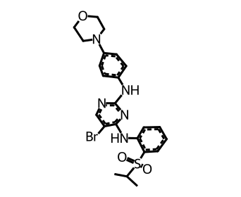 CC(C)S(=O)(=O)c1ccccc1Nc1nc(Nc2ccc(N3CCOCC3)cc2)ncc1Br